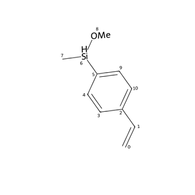 C=Cc1ccc([SiH](C)OC)cc1